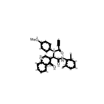 C#CC(=O)N(c1ccc(OC)cc1)C(C(=O)Nc1c(C)cccc1C)c1coc2ccccc2c1=O